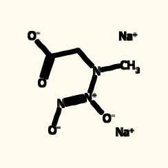 CN(CC(=O)[O-])[N+]([O-])=N[O-].[Na+].[Na+]